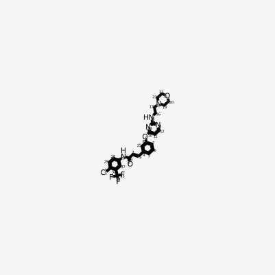 O=C(C=Cc1cccc(Oc2ccnc(NCCN3CCOCC3)n2)c1)Nc1ccc(Cl)c(C(F)(F)F)c1